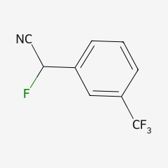 N#CC(F)c1cccc(C(F)(F)F)c1